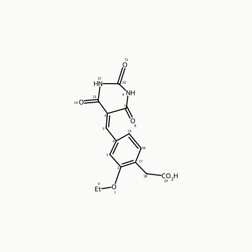 CCOc1cc(C=C2C(=O)NC(=O)NC2=O)ccc1CC(=O)O